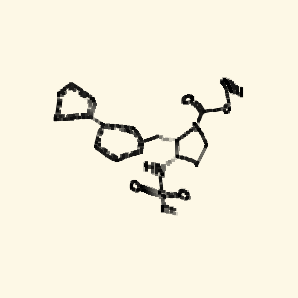 CCS(=O)(=O)N[C@H]1CCN(C(=O)OC(C)(C)C)[C@H]1Cc1cccc(-c2ccccc2)c1